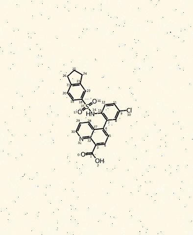 O=C(O)c1ccc(-c2cc(Cl)ccc2NS(=O)(=O)c2ccc3c(c2)CCC3)c2cccnc12